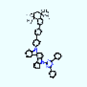 CC1(C)CCC(C)(C)c2cc(-c3ccc(-c4ccc(-n5c6ccccc6c6c7c8ccccc8n(-c8nc(-c9ccccc9)nc(-c9ccccc9)n8)c7ccc65)cc4)cc3)ccc21